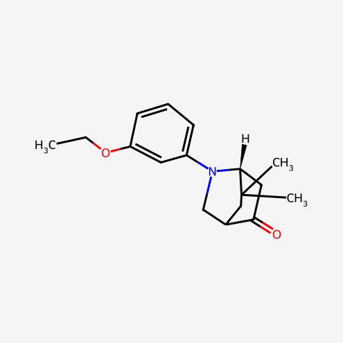 CCOc1cccc(N2CC3CC(C)(C)[C@H]2CC3=O)c1